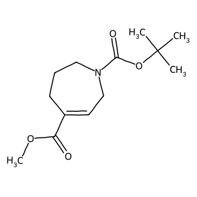 COC(=O)C1=CCN(C(=O)OC(C)(C)C)CCC1